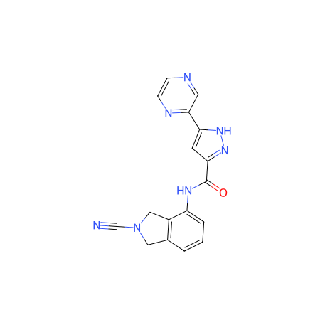 N#CN1Cc2cccc(NC(=O)c3cc(-c4cnccn4)[nH]n3)c2C1